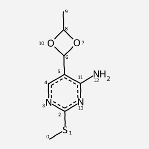 CSc1ncc(C2OC(C)O2)c(N)n1